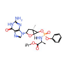 CC(C)OC(=O)[C@H](C)N[P@](=O)(Oc1ccccc1)OC1[C@H]2O[C@@H](n3cnc4c(=O)[nH]c(N)nc43)C[C@@]12C